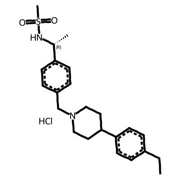 CCc1ccc(C2CCN(Cc3ccc([C@@H](C)NS(C)(=O)=O)cc3)CC2)cc1.Cl